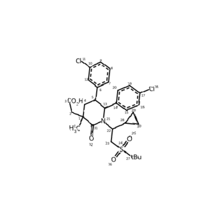 CC1(CC(=O)O)CC(c2cccc(Cl)c2)C(c2ccc(Cl)cc2)N(C(CS(=O)(=O)C(C)(C)C)C2CC2)C1=O